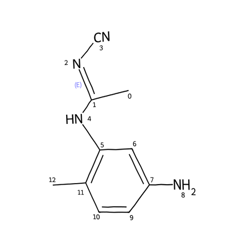 C/C(=N\C#N)Nc1cc(N)ccc1C